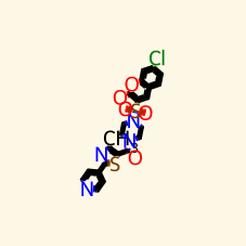 Cc1nc(-c2ccncc2)sc1C(=O)N1CCN(S(=O)(=O)c2cc3ccc(Cl)cc3oc2=O)CC1